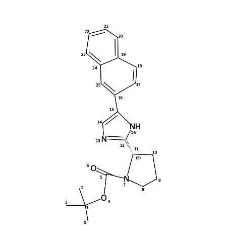 CC(C)(C)OC(=O)N1CCC[C@H]1c1ncc(-c2ccc3ccccc3c2)[nH]1